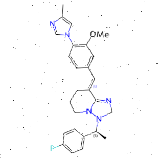 COc1cc(/C=C2\CCCN3C2=NCN3[C@@H](C)c2ccc(F)cc2)ccc1-n1cnc(C)c1